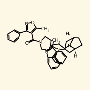 Cc1onc(-c2ccccc2)c1C(=O)N1CCC(CCN2[C@@H]3CC[C@H]2CC(n2c(C)nc4ccccc42)C3)(c2ccccc2)CC1